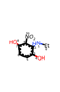 CCNc1c(O)ccc(O)c1[N+](=O)[O-]